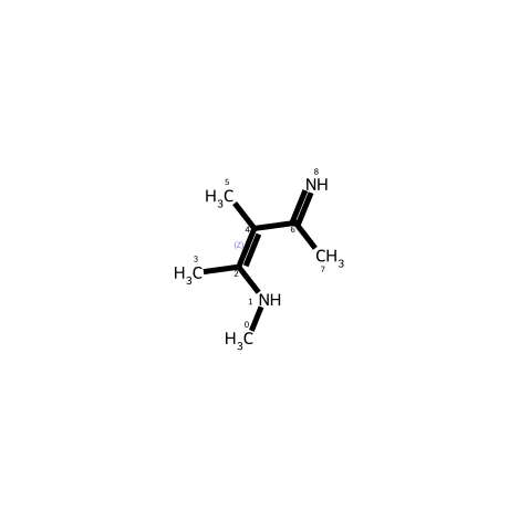 CN/C(C)=C(/C)C(C)=N